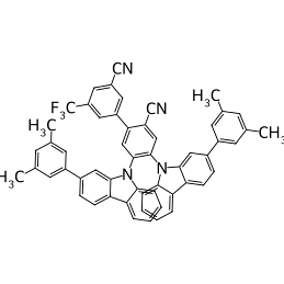 Cc1cc(C)cc(-c2ccc3c4ccccc4n(-c4cc(C#N)c(-c5cc(C#N)cc(C(F)(F)F)c5)cc4-n4c5ccccc5c5ccc(-c6cc(C)cc(C)c6)cc54)c3c2)c1